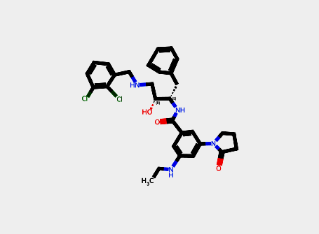 CCNc1cc(C(=O)N[C@@H](Cc2ccccc2)[C@H](O)CNCc2cccc(Cl)c2Cl)cc(N2CCCC2=O)c1